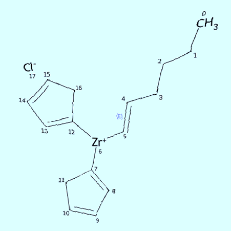 CCCC/C=[CH]/[Zr+]([C]1=CC=CC1)[C]1=CC=CC1.[Cl-]